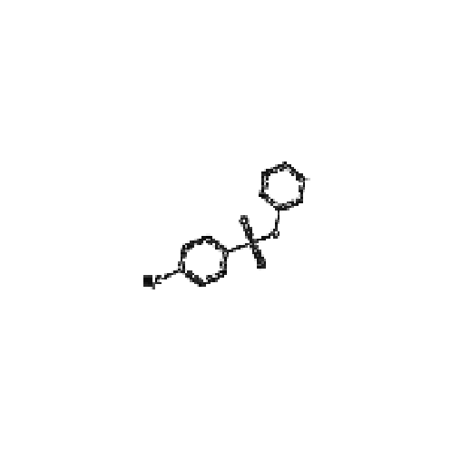 Cc1ccc(S(=O)(=O)Oc2c[c]ccc2)cc1